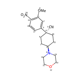 COc1cc([C@]2(C#N)CC[C@H](N3CCOCC3)CC2)ccc1[N+](=O)[O-]